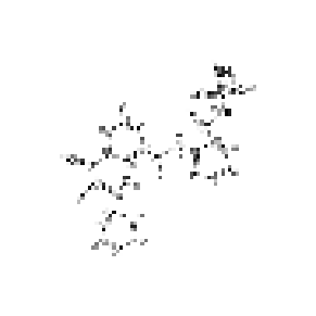 Cc1cc(C(C)Nc2cccnc2C(=O)NS(N)(=O)=O)c2oc(-c3ccccc3)c(C)c(=O)c2c1